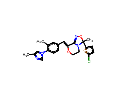 COc1cc(/C=C2\OCCN3C2=NOC3(C)c2ccc(Cl)s2)ccc1-n1cnc(C)c1